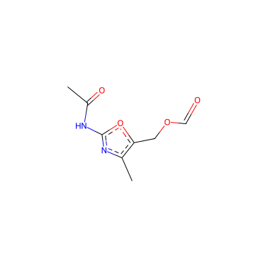 CC(=O)Nc1nc(C)c(COC=O)o1